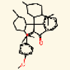 COc1ccc(C=C2C(=O)c3ccccc3C2(C2CC(C)CCC2C(C)C)C2CC(C)CCC2C(C)C)cc1